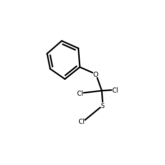 ClSC(Cl)(Cl)Oc1ccccc1